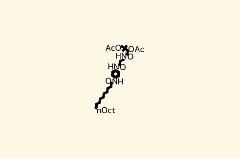 CCCCCCCC/C=C\CCCCCCCC(=O)Nc1ccc(NC(=O)CCNC(=O)C(OC(C)=O)C(C)(C)COC(C)=O)cc1